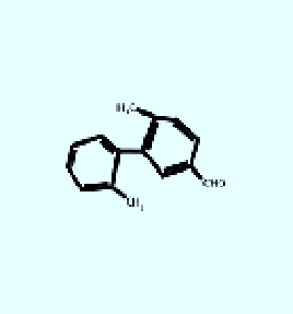 Cc1[c]cc(C=O)cc1-c1ccccc1C